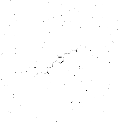 CCCCCCCCCC(=O)NCCn1cc[n+](CCNC(=O)CCCCCCCCC)c1C.[Cl-]